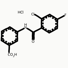 Cl.O=C(O)c1cccc(NC(=O)c2ccc(F)cc2Cl)c1